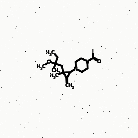 C=C1C(N2CCN(C(=O)I)CC2)C1(C)CC(C)(CC)OC